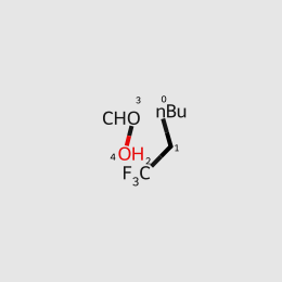 CCCCCC(F)(F)F.O=CO